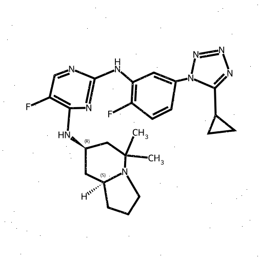 CC1(C)C[C@H](Nc2nc(Nc3cc(-n4nnnc4C4CC4)ccc3F)ncc2F)C[C@@H]2CCCN21